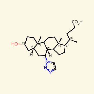 C[C@H](CCC(=O)O)[C@H]1CCC2[C@H]3C(CC[C@@]21C)[C@@]1(C)CC[C@@H](O)C[C@H]1C[C@@H]3n1ccnn1